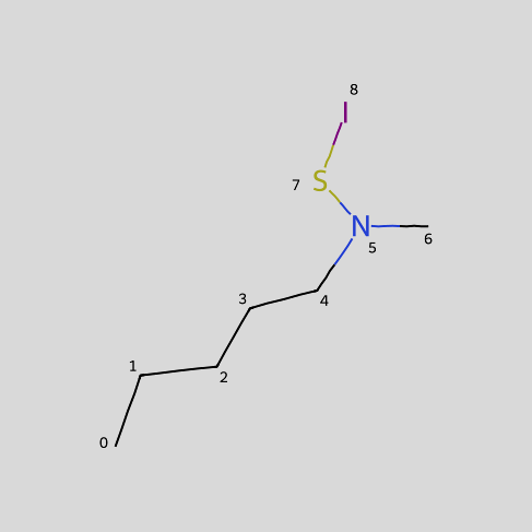 CCCCCN(C)SI